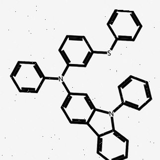 c1ccc(Sc2cccc(N(c3ccccc3)c3ccc4c5ccccc5n(-c5ccccc5)c4c3)c2)cc1